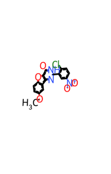 COc1ccc2oc3c(=O)[nH]c(-c4cc([N+](=O)[O-])ccc4Cl)nc3c2c1